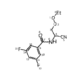 CCOOCC(C#N)NC(=O)c1cc(F)cc(F)c1